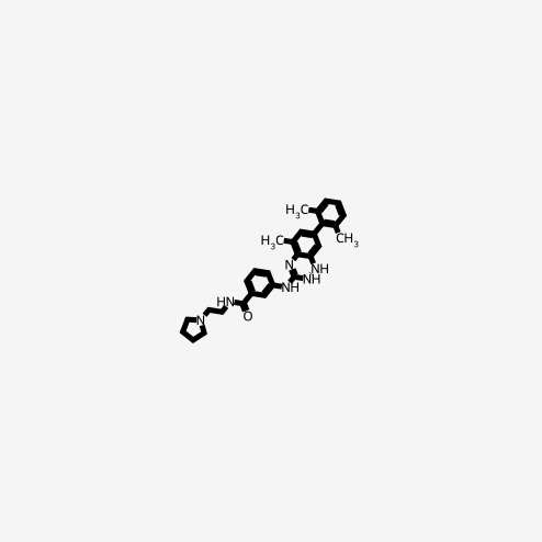 Cc1cc(-c2c(C)cccc2C)cc2c1N=C(Nc1cccc(C(=O)NCCN3CCCC3)c1)NN2